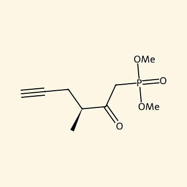 C#CC[C@H](C)C(=O)CP(=O)(OC)OC